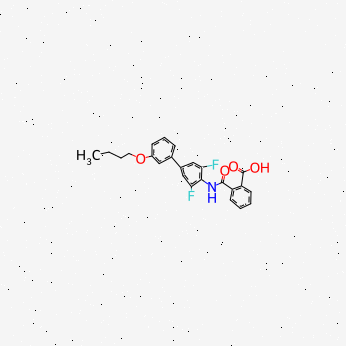 CCCCOc1cccc(-c2cc(F)c(NC(=O)c3ccccc3C(=O)O)c(F)c2)c1